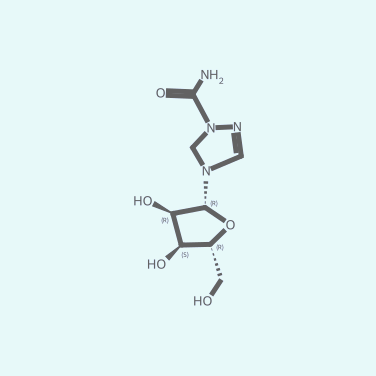 NC(=O)N1CN([C@@H]2O[C@H](CO)[C@@H](O)[C@H]2O)C=N1